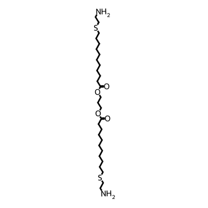 NCCSCCCCCCCCCCC(=O)OCCCOC(=O)CCCCCCCCCCSCCN